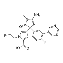 CN1C(=O)C(c2ccc(F)c(-c3cncnc3)c2)(c2cc(C(=O)O)n(CCF)c2)N=C1N